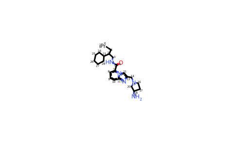 CC(C)CC(CNC(=O)c1cccc2nc(CN3CCC(N)C3)cn12)C1CCCCC1